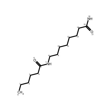 CCCCCC(=O)NCCCCCCCC([NH])=O